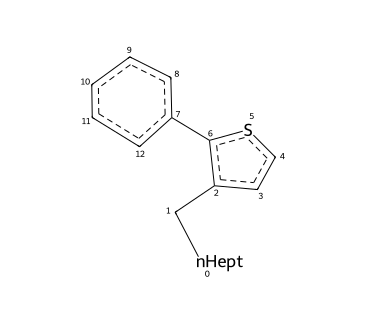 CCCCCCCCc1ccsc1-c1ccccc1